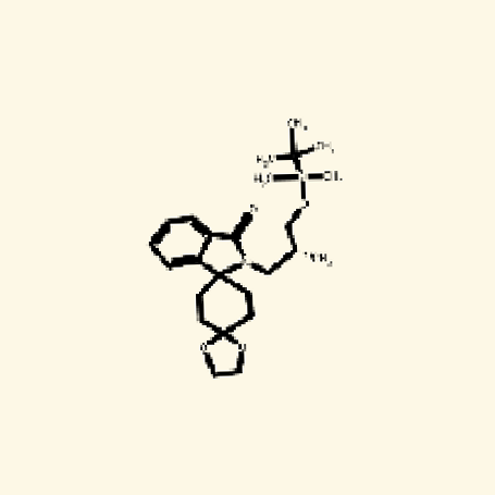 C[C@@H](CO[Si](C)(C)C(C)(C)C)CN1C(=O)c2ccccc2C12CCC1(CC2)OCCO1